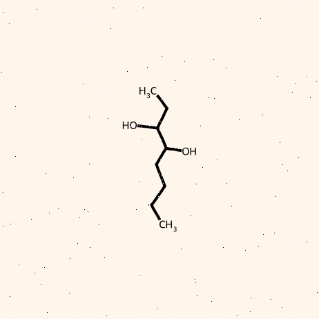 C[CH]CCC(O)C(O)CC